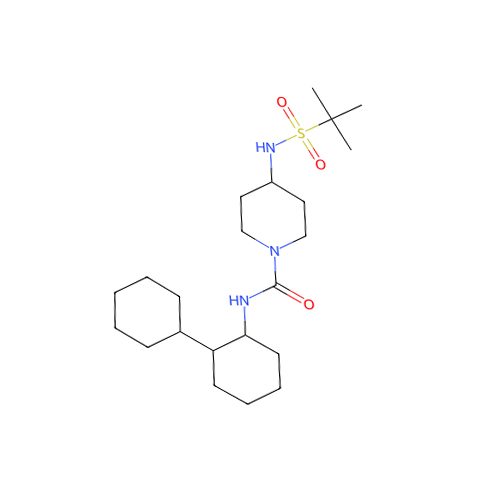 CC(C)(C)S(=O)(=O)NC1CCN(C(=O)NC2CCCCC2C2CCCCC2)CC1